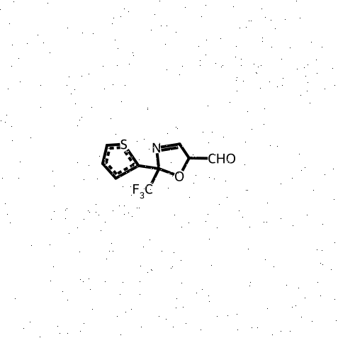 O=CC1C=NC(c2cccs2)(C(F)(F)F)O1